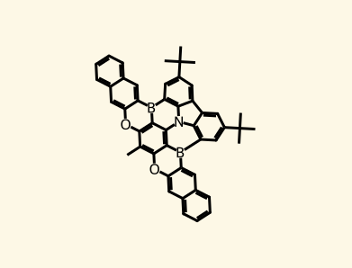 Cc1c2c3c4c5c1Oc1cc6ccccc6cc1B5c1cc(C(C)(C)C)cc5c6cc(C(C)(C)C)cc(c6n-4c15)B3c1cc3ccccc3cc1O2